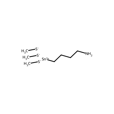 C[S-].C[S-].C[S-].NCCC[CH2][Sn+3]